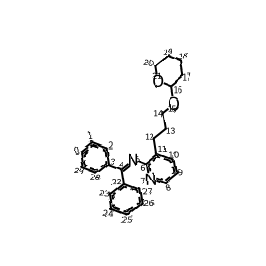 c1ccc(C(=Nc2ncccc2CCCOC2CCCCO2)c2ccccc2)cc1